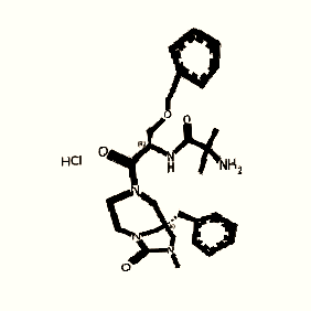 CN1C[C@]2(Cc3ccccc3)CN(C(=O)[C@@H](COCc3ccccc3)NC(=O)C(C)(C)N)CCN2C1=O.Cl